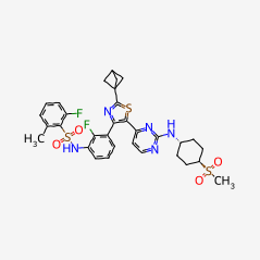 Cc1cccc(F)c1S(=O)(=O)Nc1cccc(-c2nc(C34CC(C3)C4)sc2-c2ccnc(N[C@H]3CC[C@H](S(C)(=O)=O)CC3)n2)c1F